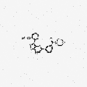 COc1ccccc1-c1n[nH]c2ncc(-c3cccc(C(=O)N4CCOCC4)c3)nc12